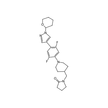 O=C1CCCN1CC1CCN(c2cc(F)c(-c3cnn(C4CCCCO4)c3)cc2F)CC1